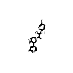 Cc1cc(C2CN(C(C)C(=O)Nc3ccc(F)cn3)CCC2(F)F)ccn1